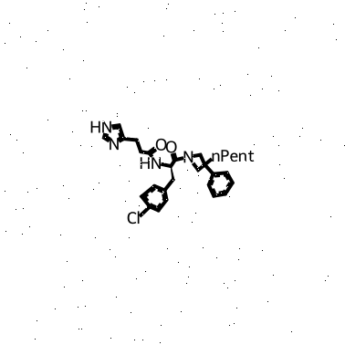 CCCCCC1(c2ccccc2)CN(C(=O)[C@@H](Cc2ccc(Cl)cc2)NC(=O)CCc2c[nH]cn2)C1